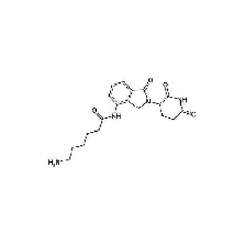 NCCCCCC(=O)Nc1cccc2c1CN(C1CCC(=O)NC1=O)C2=O